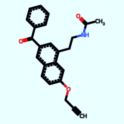 C#CCOc1ccc2cc(C(=O)c3ccccc3)cc(CCNC(C)=O)c2c1